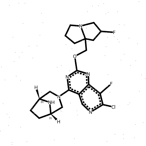 Fc1c(Cl)ncc2c(N3C[C@H]4CC[C@@H](C3)N4)nc(OCC34CCCN3CC(F)C4)nc12